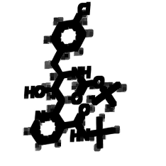 CC(C)(C)NC(=O)c1cccnc1C[C@@H](O)[C@@H](Cc1ccc(Cl)cc1)NC(=O)OC(C)(C)C